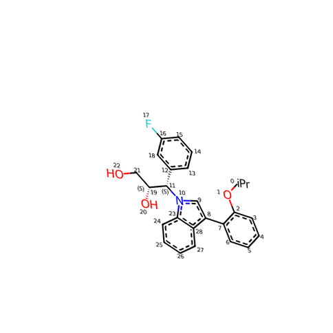 CC(C)Oc1ccccc1-c1cn([C@@H](c2cccc(F)c2)[C@H](O)CO)c2ccccc12